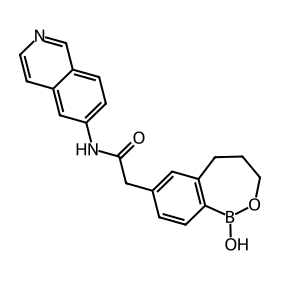 O=C(Cc1ccc2c(c1)CCCOB2O)Nc1ccc2cnccc2c1